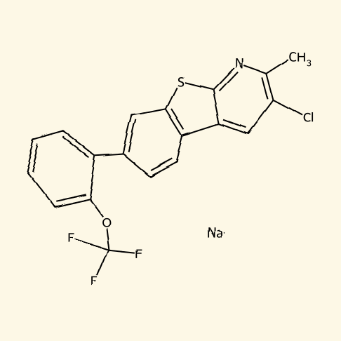 Cc1nc2sc3cc(-c4ccccc4OC(F)(F)F)ccc3c2cc1Cl.[Na]